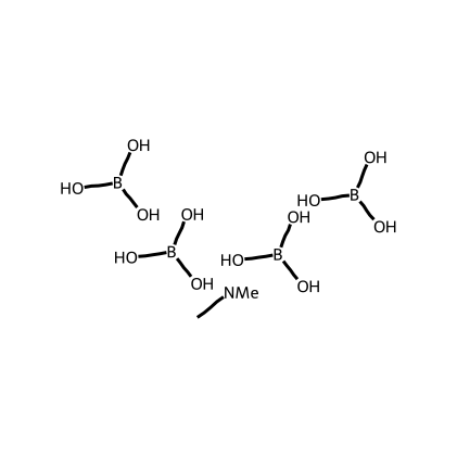 CNC.OB(O)O.OB(O)O.OB(O)O.OB(O)O